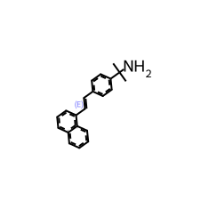 CC(C)(N)c1ccc(/C=C/c2cccc3ccccc23)cc1